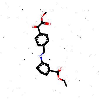 CCOC(=O)c1cccc(NCc2ccc(C(=O)C(=O)OC)cc2)c1